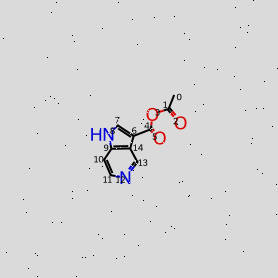 CC(=O)OC(=O)c1c[nH]c2ccncc12